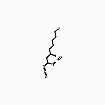 O=C=NC(CC(I)CCCCCBr)N=C=O